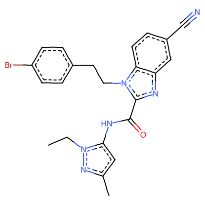 CCn1nc(C)cc1NC(=O)c1nc2cc(C#N)ccc2n1CCc1ccc(Br)cc1